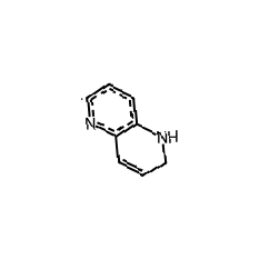 [c]1ccc2c(n1)C=CCN2